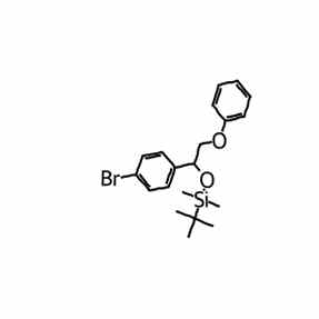 CC(C)(C)[Si](C)(C)OC(COc1ccccc1)c1ccc(Br)cc1